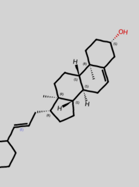 C[C@]12CC[C@H]3[C@@H](CC=C4C[C@@H](O)CC[C@@]43C)[C@@H]1CC[C@@H]2C/C=C/C1CCCCC1